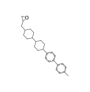 Cc1ccc(-c2ccc(C3CCC(C4CCC(CC5CO5)CC4)CC3)cc2)cc1